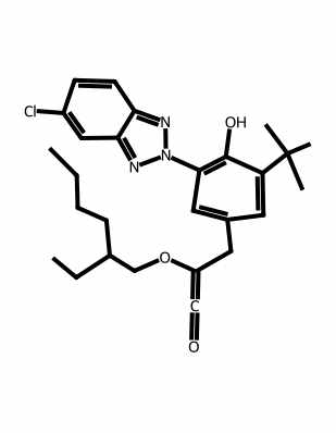 CCCCC(CC)COC(=C=O)Cc1cc(-n2nc3ccc(Cl)cc3n2)c(O)c(C(C)(C)C)c1